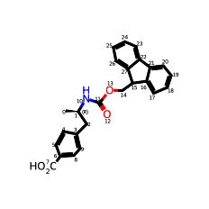 C[C@H](Cc1ccc(C(=O)O)cc1)NC(=O)OCC1c2ccccc2-c2ccccc21